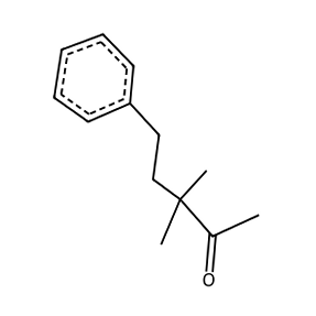 CC(=O)C(C)(C)CCc1ccccc1